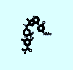 CNc1ccn(-c2ccnc3c2cc([C@@H](C)N2CC[C@@H](c4c(C)cc(C(=O)N(C)C)cc4F)C(F)(F)C2)n3C)c(=O)c1